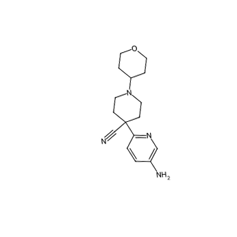 N#CC1(c2ccc(N)cn2)CCN(C2CCOCC2)CC1